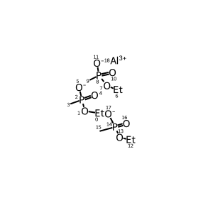 CCOP(C)(=O)[O-].CCOP(C)(=O)[O-].CCOP(C)(=O)[O-].[Al+3]